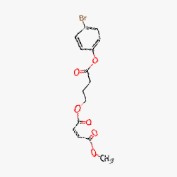 COC(=O)/C=C\C(=O)OCCCC(=O)Oc1ccc(Br)cc1